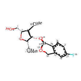 COC1[C@@H](CO)O[C@@H](OC)[C@H]1OB1OCc2cc(F)ccc21